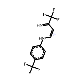 N=C(/C=C\Nc1ccc(C(F)(F)F)cc1)C(F)(F)F